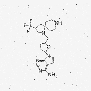 Nc1ncnc2c1ccn2C1CCC(CN2CC(C(F)(F)F)CC23CCNCC3)O1